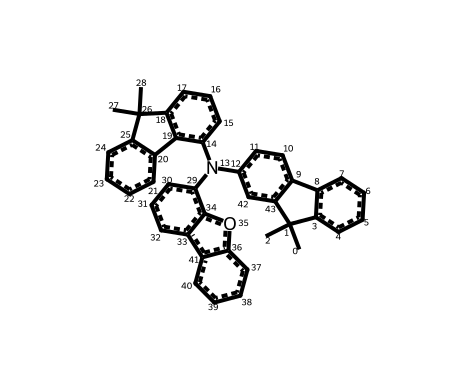 CC1(C)c2ccccc2-c2ccc(N(c3cccc4c3-c3ccccc3C4(C)C)c3cccc4c3oc3ccccc34)cc21